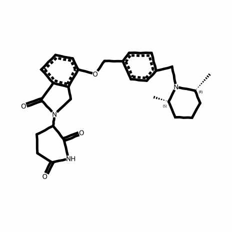 C[C@@H]1CCC[C@H](C)N1Cc1ccc(COc2cccc3c2CN(C2CCC(=O)NC2=O)C3=O)cc1